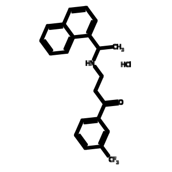 CC(NCCC(=O)c1cccc(C(F)(F)F)c1)c1cccc2ccccc12.Cl